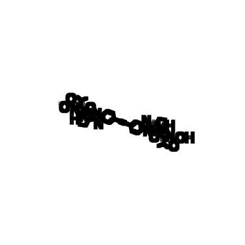 COC(=O)N[C@H](C(=O)N1CCCC1c1nc2cc(C#Cc3ccc4[nH]c([C@@H]5CCCN5C(=O)[C@@H](NC(=O)O)C(C)C)nc4c3)ccc2[nH]1)C(C)C